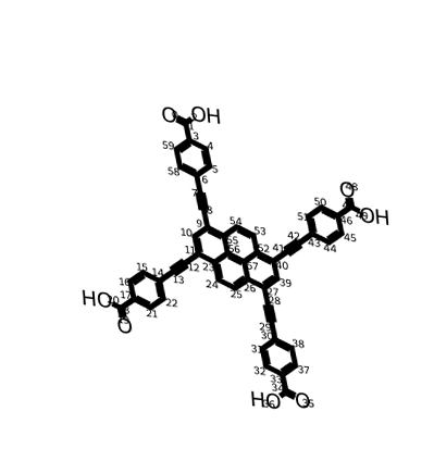 O=C(O)c1ccc(C#Cc2cc(C#Cc3ccc(C(=O)O)cc3)c3ccc4c(C#Cc5ccc(C(=O)O)cc5)cc(C#Cc5ccc(C(=O)O)cc5)c5ccc2c3c54)cc1